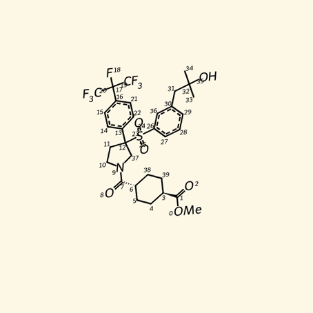 COC(=O)[C@H]1CC[C@H](C(=O)N2CCC(c3ccc(C(F)(C(F)(F)F)C(F)(F)F)cc3)(S(=O)(=O)c3cccc(CC(C)(C)O)c3)C2)CC1